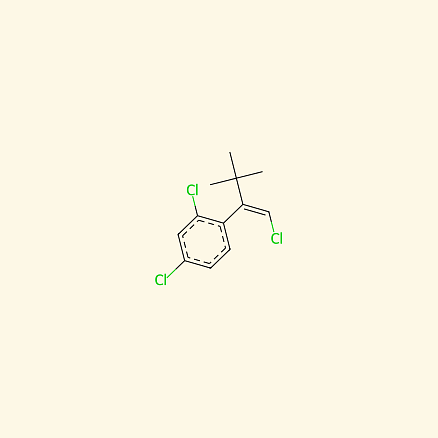 CC(C)(C)/C(=C/Cl)c1ccc(Cl)cc1Cl